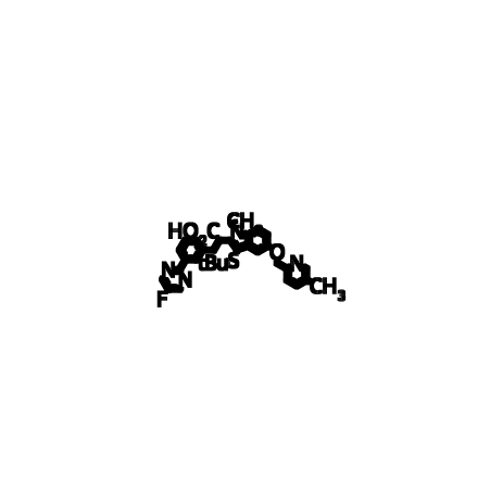 Cc1ccc(COc2ccc3c(c2)c(SC(C)(C)C)c(C(Cc2cccc(-c4ncc(F)cn4)c2)C(=O)O)n3C)nc1